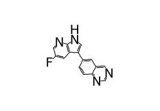 Fc1cnc2[nH]cc(-c3ccc4ncncc4c3)c2c1